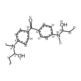 CCC(O)N(C)c1ccc(C(=O)c2ccc(N(C)C(O)CC)cc2)cc1